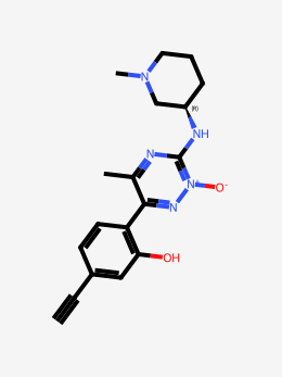 C#Cc1ccc(-c2n[n+]([O-])c(N[C@@H]3CCCN(C)C3)nc2C)c(O)c1